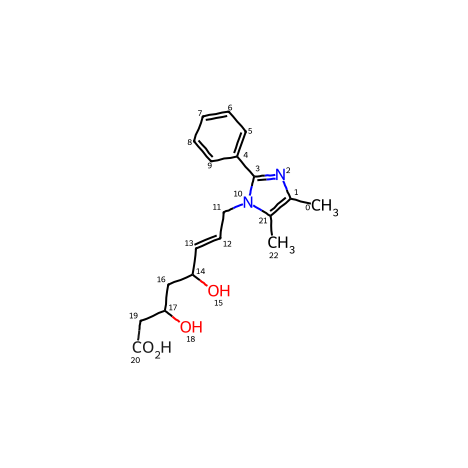 Cc1nc(-c2ccccc2)n(CC=CC(O)CC(O)CC(=O)O)c1C